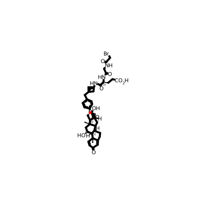 C[C@]12C=CC(=O)C=C1CC[C@H]1C3C[C@H]4CN(c5ccc(CC67CC(NC(=O)[C@H](CCC(=O)O)NC(=O)CNC(=O)CBr)(C6)C7)cc5)C[C@@]4(C(=O)CO)[C@@]3(C)C[C@H](O)[C@@H]12